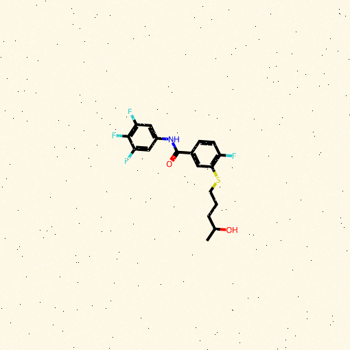 CC(O)CCCSc1cc(C(=O)Nc2cc(F)c(F)c(F)c2)ccc1F